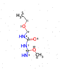 CCOCNC(=O)NC(=N)OC